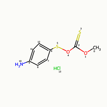 COC(=S)OSc1ccc(N)cc1.Cl